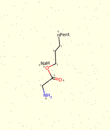 CCCCCCCCOC(=O)CN.[NaH]